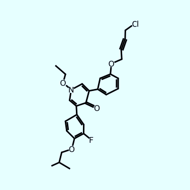 CCOn1cc(-c2cccc(OCC#CCCl)c2)c(=O)c(-c2ccc(OCC(C)C)c(F)c2)c1